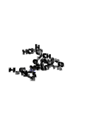 CC(C)C[C@H](NC(=O)C1CCOCC1)C(=O)C(=O)N/N=C1\SCCN1C.Cl